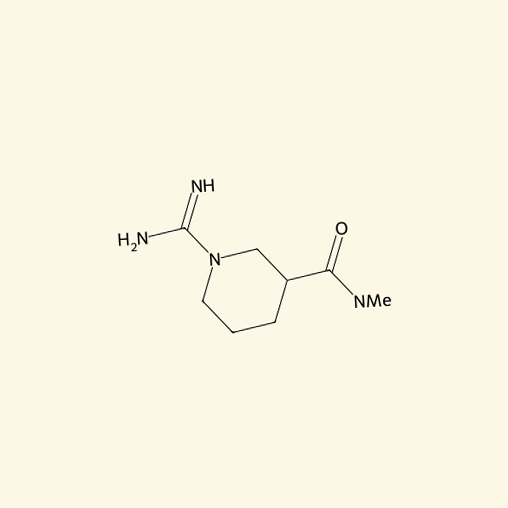 CNC(=O)C1CCCN(C(=N)N)C1